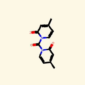 Cc1ccn(C(=O)n2ccc(C)cc2=O)c(=O)c1